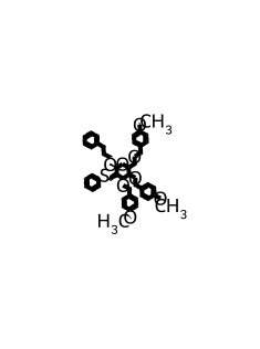 COc1ccc(COCC2O[C@H](OCCCc3ccccc3)/C(=C\Sc3ccccc3)C(OCc3ccc(OC)cc3)C2OCc2ccc(OC)cc2)cc1